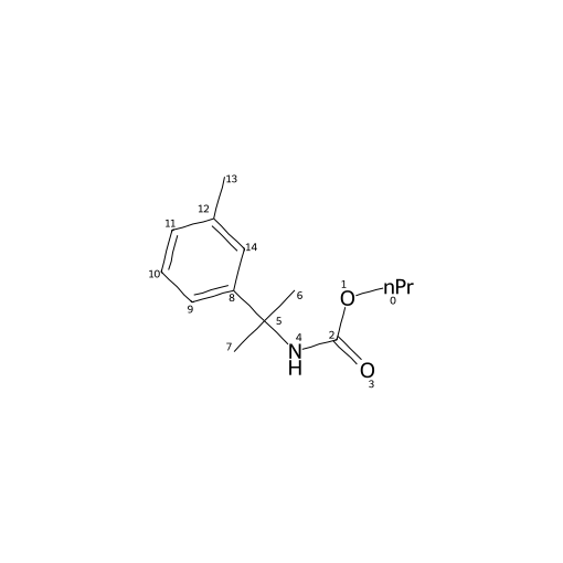 CCCOC(=O)NC(C)(C)c1cccc(C)c1